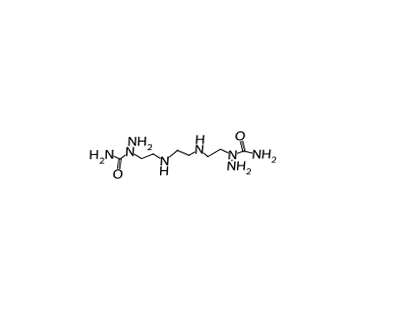 NC(=O)N(N)CCNCCNCCN(N)C(N)=O